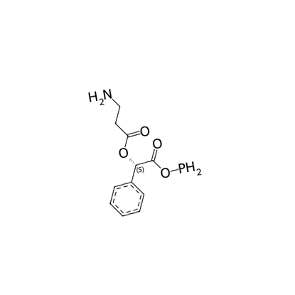 NCCC(=O)O[C@H](C(=O)OP)c1ccccc1